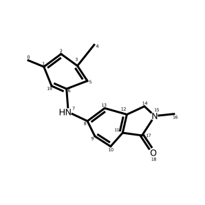 Cc1cc(C)cc(Nc2ccc3c(c2)CN(C)C3=O)c1